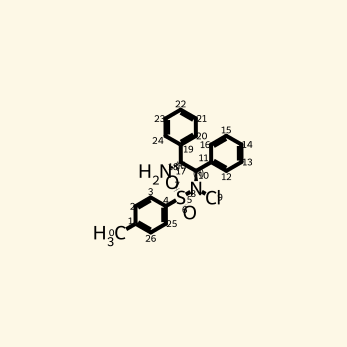 Cc1ccc(S(=O)(=O)N(Cl)[C@H](c2ccccc2)[C@H](N)c2ccccc2)cc1